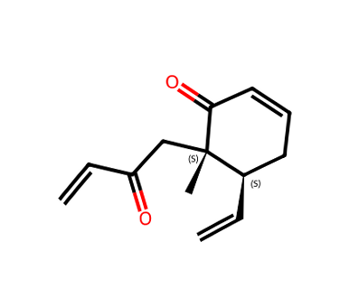 C=CC(=O)C[C@]1(C)C(=O)C=CC[C@H]1C=C